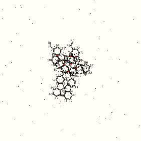 C=Cc1ccc(CC2(c3ccc(C)cc3)c3ccccc3-c3ccc(N(c4ccccc4)c4ccc5c(c4)C4(c6ccccc6-5)c5ccccc5-c5ccc(N(c6ccccc6)c6ccc7c(c6)C(Cc6ccc(C=C)cc6)(c6ccc(C)cc6)c6ccccc6-7)cc54)cc32)cc1